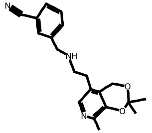 Cc1ncc(CCNCc2cccc(C#N)c2)c2c1OC(C)(C)OC2